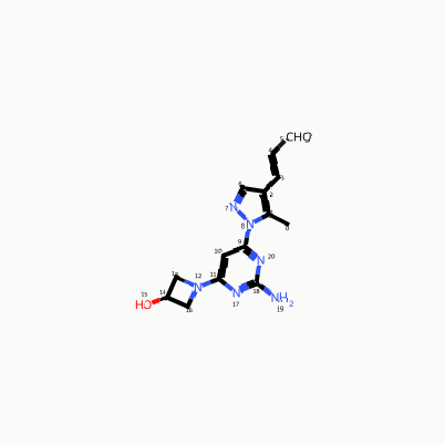 Cc1c(C=CC=O)cnn1-c1cc(N2CC(O)C2)nc(N)n1